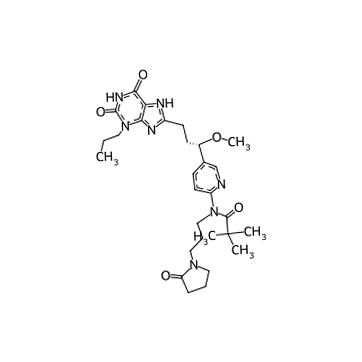 CCCn1c(=O)[nH]c(=O)c2[nH]c(CC[C@H](OC)c3ccc(N(CCCN4CCCC4=O)C(=O)C(C)(C)C)nc3)nc21